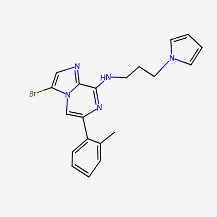 Cc1ccccc1-c1cn2c(Br)cnc2c(NCCCn2cccc2)n1